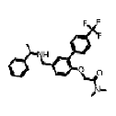 C[C@@H](NCc1ccc(OCC(=O)N(C)C)c(-c2ccc(C(F)(F)F)cc2)c1)c1ccccc1